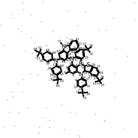 Cc1cc2c3c(c1)N(c1ccc(C(C)(C)C)cc1)C1c4cc(C(C)(C)C)ccc4SC1B3c1cc(C(C)(C)C)ccc1N2c1cc(N(c2ccc(C(C)(C)C)cc2)c2ccc(C(C)(C)C)cc2)cc2c1c1ccccc1n2C